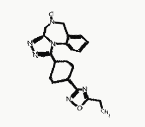 CCc1nc(C2CCC(c3nnc4n3-c3ccccc3CN(Cl)C4)CC2)no1